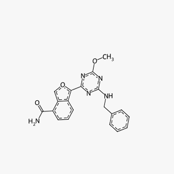 COc1nc(NCc2ccccc2)nc(-c2occ3c(C(N)=O)cccc23)n1